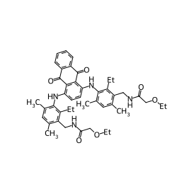 CCOCC(=O)NCc1c(C)cc(C)c(Nc2ccc(Nc3c(C)cc(C)c(CNC(=O)COCC)c3CC)c3c2C(=O)c2ccccc2C3=O)c1CC